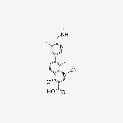 CNCc1ncc(-c2ccc3c(=O)c(C(=O)O)cn(C4CC4)c3c2C)cc1C